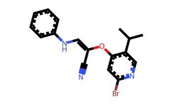 CC(C)c1cnc(Br)cc1O/C(C#N)=C/Nc1ccccc1